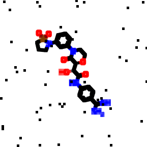 N=C(N)c1ccc(NC(=O)[C@H](O)[C@H]2OCCN(c3cccc(N4CCCS4(=O)=O)c3)C2=O)cc1